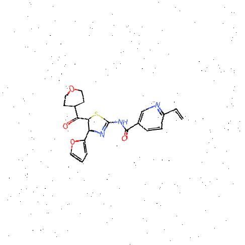 C=Cc1ccc(C(=O)NC2=NC(c3ccco3)C(C(=O)C3CCOCC3)S2)cn1